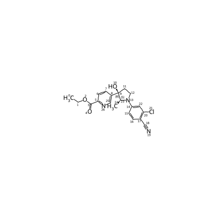 CCOC(=O)c1ccc([C@]2(O)CCN(c3ccc(C#N)c(Cl)c3)[C@H]2C)cn1